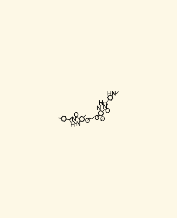 CCNc1ccc(C2=CN3C(=O)c4cc(OC)c(OCCCOc5cc6c(cc5C)C(=O)N5C=C(c7ccc(C)cc7)C[C@H]5C=N6)cc4N=C[C@@H]3C2)cc1